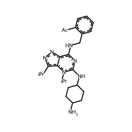 CC(=O)c1ccccc1CNc1nc(NC2CCC(N)CC2)n(C(C)C)c2c(C(C)C)nnc1-2